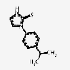 CC(C)c1ccc(-n2cc[nH]c2=S)cc1